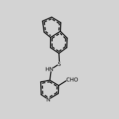 O=Cc1cnccc1NSc1ccc2ccccc2c1